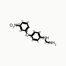 NCNc1ccc(Oc2cccc([N+](=O)[O-])c2)cc1